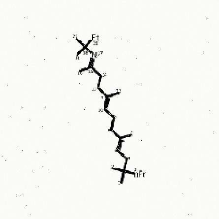 CCCC(C)(C)C/C=C(\C)CC/C=C(\C)CC/C(C)=N/C(C)(C)CC